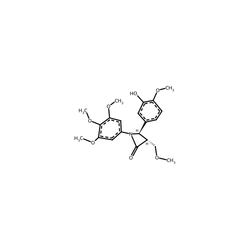 COC[C@@H]1C(=O)N(c2cc(OC)c(OC)c(OC)c2)[C@H]1c1ccc(OC)c(O)c1